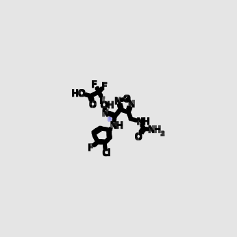 NC(=O)NCc1nonc1/C(=N\O)Nc1ccc(F)c(Cl)c1.O=C(O)C(F)(F)F